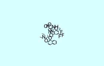 CCN(CC)C(=O)C(C)Oc1cccc2ccccc12.Nc1c([N+](=O)[O-])cnn1-c1c(Cl)cc(C(F)(F)F)cc1Cl